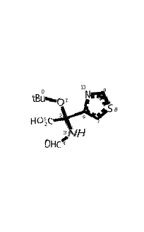 CC(C)(C)OC(NC=O)(C(=O)O)c1cscn1